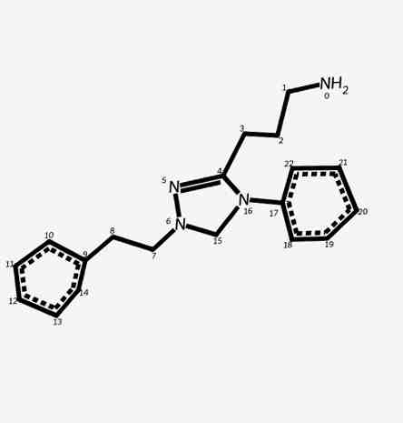 NCCCC1=NN(CCc2ccccc2)CN1c1ccccc1